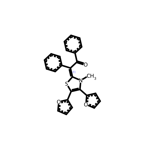 CN1C(c2ccco2)=C(c2ccco2)S/C1=C(/C(=O)c1ccccc1)c1ccccc1